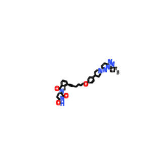 O=C1CCC(N2Cc3c(C#CCCCCOc4ccc(C5CCN(C6=Nn7c(nnc7C(F)(F)F)CC6)CC5)cc4)cccc3C2=O)C(=O)N1